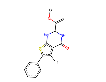 C=C(OCC)C1NC(=O)c2c(sc(-c3ccccc3)c2CC)N1